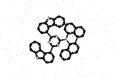 c1ccc2c3c(ccc2c1)-c1cccc2cccc(c12)N3c1nc(-c2cccc3sc4ccccc4c23)nc(-c2cccc3sc4ccccc4c23)n1